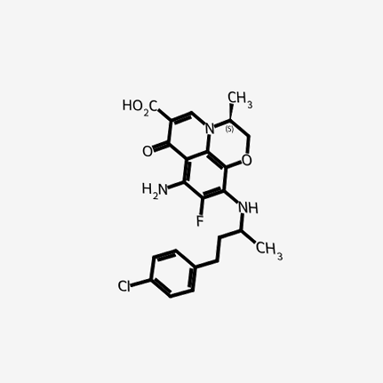 CC(CCc1ccc(Cl)cc1)Nc1c(F)c(N)c2c(=O)c(C(=O)O)cn3c2c1OC[C@@H]3C